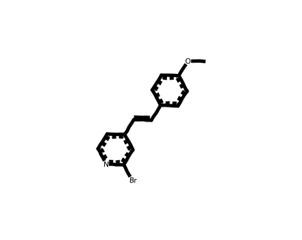 COc1ccc(/C=C/c2ccnc(Br)c2)cc1